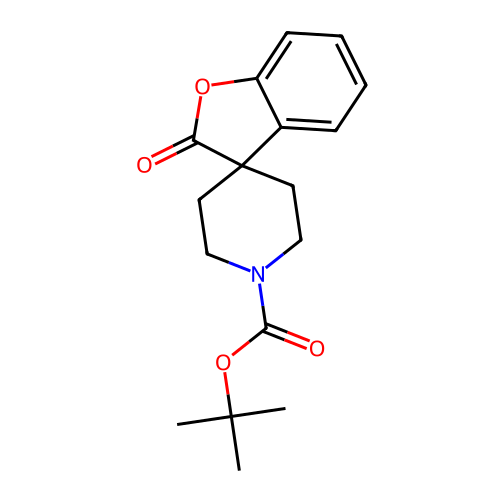 CC(C)(C)OC(=O)N1CCC2(CC1)C(=O)Oc1ccccc12